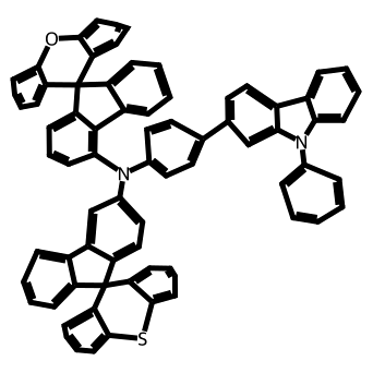 c1ccc(-n2c3ccccc3c3ccc(-c4ccc(N(c5ccc6c(c5)-c5ccccc5C65c6ccccc6Sc6ccccc65)c5cccc6c5-c5ccccc5C65c6ccccc6Oc6ccccc65)cc4)cc32)cc1